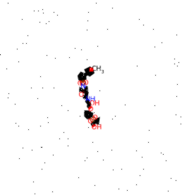 Cc1ccc(-c2cccc(S(=O)(=O)N3CCC4(CC3)C[C@@H](NC[C@H](O)COc3cccc(S(=O)(=O)C5(CO)CC5)c3)CO4)c2)cc1